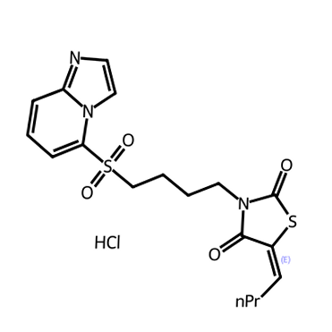 CCC/C=C1/SC(=O)N(CCCCS(=O)(=O)c2cccc3nccn23)C1=O.Cl